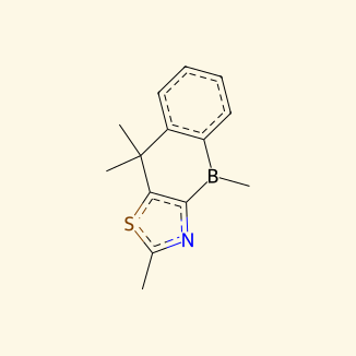 CB1c2ccccc2C(C)(C)c2sc(C)nc21